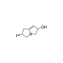 OC1C=C2C[C@H](F)CN2C1